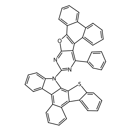 c1ccc(-c2nc(-n3c4ccccc4c4c5ccccc5c5c6ccccc6sc5c43)nc3oc4c5ccccc5c5ccccc5c4c23)cc1